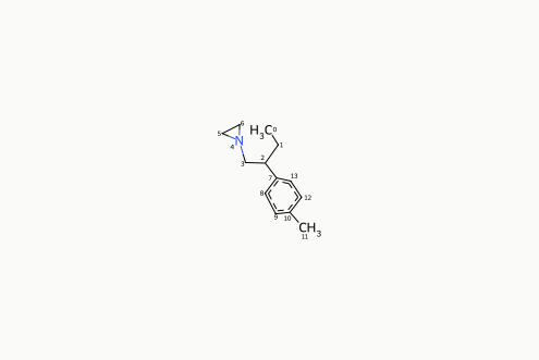 CCC(CN1CC1)c1ccc(C)cc1